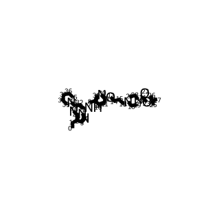 CCc1cnn2c(NCc3ccc(OCCCN4CCN(C(=O)OC(C)(C)C)CC4)nc3)cc(N3CCCCC3)nc12